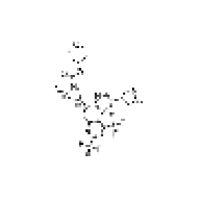 CC[C@@H]1C[C@H](N(Cc2cc(C(F)(F)F)cc(C(F)(F)F)c2)c2ncc(C3C=NN(C)C3)cn2)CN1C(=O)OC1CCOCC1